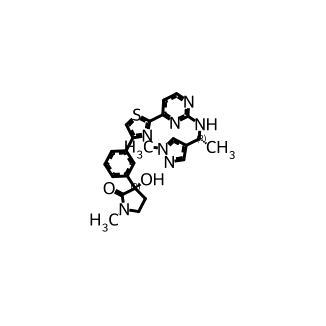 C[C@@H](Nc1nccc(-c2nc(-c3cccc([C@]4(O)CCN(C)C4=O)c3)cs2)n1)c1cnn(C)c1